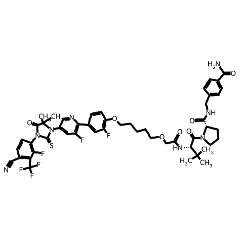 CC(C)(C)[C@H](NC(=O)COCCCCCOc1ccc(-c2ncc(N3C(=S)N(c4ccc(C#N)c(C(F)(F)F)c4F)C(=O)C3(C)C)cc2F)cc1F)C(=O)N1CCC[C@H]1C(=O)NCc1ccc(C(N)=O)cc1